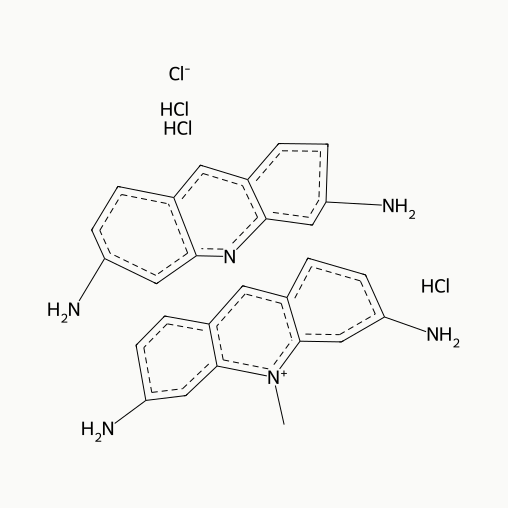 C[n+]1c2cc(N)ccc2cc2ccc(N)cc21.Cl.Cl.Cl.Nc1ccc2cc3ccc(N)cc3nc2c1.[Cl-]